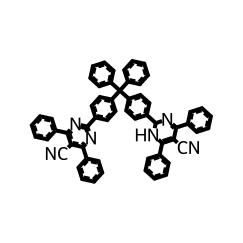 N#CC1=C(c2ccccc2)NC(c2ccc(C(c3ccccc3)(c3ccccc3)c3ccc(-c4nc(-c5ccccc5)c(C#N)c(-c5ccccc5)n4)cc3)cc2)N=C1c1ccccc1